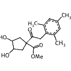 COC(=O)C1(C(=O)Cc2c(C)cc(C)cc2C)CC(O)C(O)C1